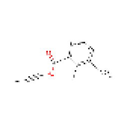 CC#COC(=O)c1cccc([N+](=O)[O-])c1C